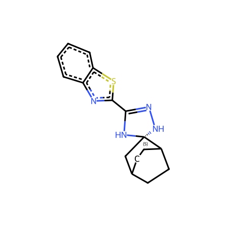 c1ccc2sc(C3=NN[C@]4(CC5CCC4CC5)N3)nc2c1